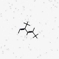 C/C=C(\C(N)=C(/C)C(F)(F)F)C(F)(F)F